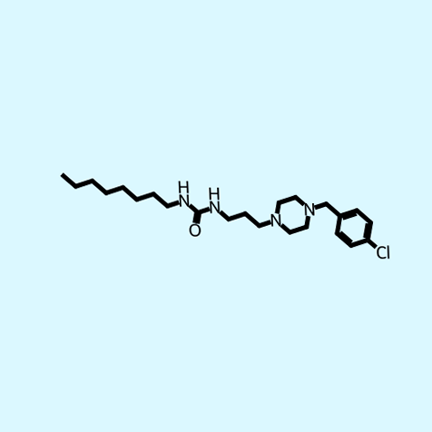 CCCCCCCCNC(=O)NCCCN1CCN(Cc2ccc(Cl)cc2)CC1